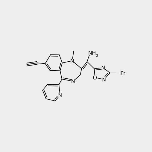 C#Cc1ccc2c(c1)C(c1ccccn1)=NC/C(=C(/N)c1nc(C(C)C)no1)N2C